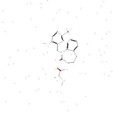 CN[C@@H](C)C(=O)N[C@H]1CCc2ccccc2N(Cc2cc(C(F)(F)F)ccc2OC)C1=O.Cl